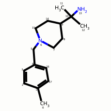 Cc1ccc(CN2CCC(C(C)(C)N)CC2)cc1